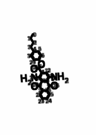 CCCCc1ccc(OC(=O)c2cc(N)c3c(c2N)C(=O)c2ccccc2C3=O)cc1